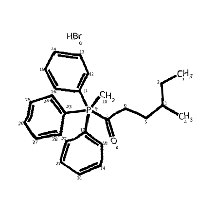 Br.CCC(C)CCC(=O)P(C)(c1ccccc1)(c1ccccc1)c1ccccc1